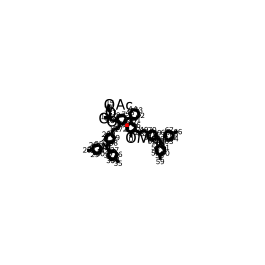 COc1ccc(C2(c3ccc(OC(=O)OCOC(C)=O)c(CCc4ccc(N(c5ccc(C)cc5)c5ccc(C)cc5)cc4)c3)CCCCC2)cc1CCc1ccc(N(c2ccc(C)cc2)c2ccc(C)cc2)cc1